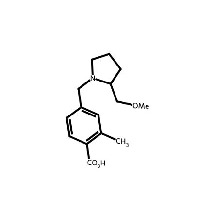 COCC1CCCN1Cc1ccc(C(=O)O)c(C)c1